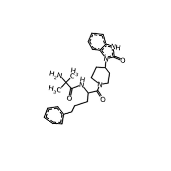 CC(C)(N)C(=O)NC(CCCc1ccccc1)C(=O)N1CCC(n2c(=O)[nH]c3ccccc32)CC1